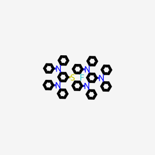 Fc1c(Sc2cc(N(c3ccccc3)c3ccccc3)cc(N(c3ccccc3)c3ccccc3)c2)cccc1N(c1ccccc1)c1cc(N(c2ccccc2)c2ccccc2)cc(N(c2ccccc2)c2ccccc2)c1